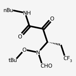 CCCCNC(=O)C(=O)[C@H](CC(F)(F)F)N(C=O)OC(C)(C)C